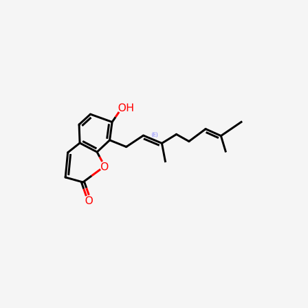 CC(C)=CCC/C(C)=C/Cc1c(O)ccc2ccc(=O)oc12